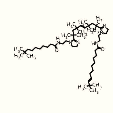 CC(C)(C)/C=C/CCCCCCCC(=O)NCCN1CCN=C1C(C)(C)CC(C)(C)/C=C/C(C)(C)CC(C)(C)C1=NCCN1CCNC(=O)CCCCCCCC(C)(C)C